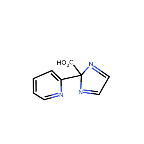 O=C(O)C1(c2ccccn2)N=CC=N1